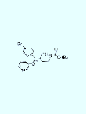 CC(C)(C)OC(=O)N1CCC([C@@H](Oc2ccccc2)c2ccc(Br)cc2)CC1